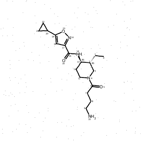 CC[C@@H]1CN(C(=O)CCCN)CC[C@H]1NC(=O)c1cc(C2CC2)on1